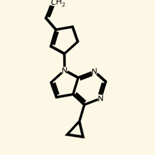 C=CC1=CC(n2ccc3c(C4CC4)ncnc32)CC1